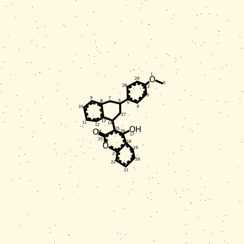 COc1ccc(C2Cc3ccccc3C(c3c(O)c4ccccc4oc3=O)C2)cc1